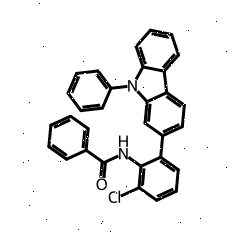 O=C(Nc1c(Cl)cccc1-c1ccc2c3ccccc3n(-c3ccccc3)c2c1)c1ccccc1